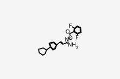 NC(C=Cc1ccc(C2CCCCC2)cc1)=NOC(=O)c1c(F)cccc1F